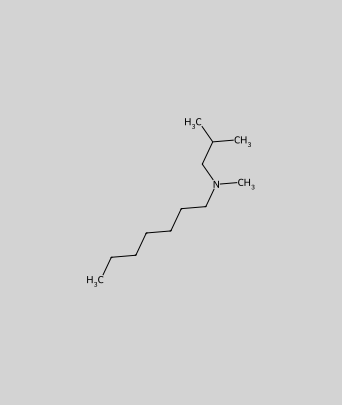 CCCCCCCN(C)CC(C)C